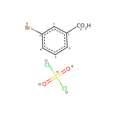 O=C(O)c1cccc(Br)c1.O=S(=O)(Cl)Cl